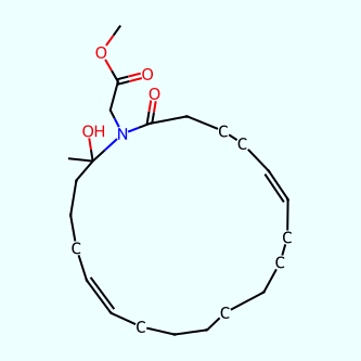 COC(=O)CN1C(=O)CCC/C=C\CCCCCCC/C=C\CCCC1(C)O